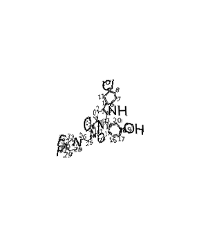 CC12Cc3c([nH]c4ccc(Cl)cc34)C(c3cccc(O)c3)N1C(=O)N(CCN1CCC(F)(F)C1)C2=O